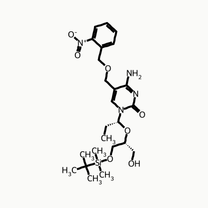 CC[C@@H](O[C@H](CO)CO[Si](C)(C)C(C)(C)C)n1cc(COCc2ccccc2[N+](=O)[O-])c(N)nc1=O